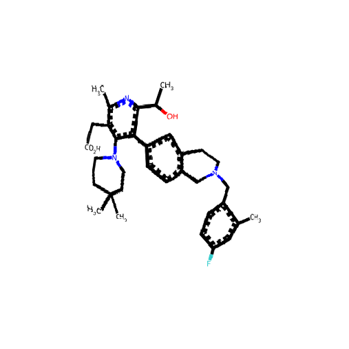 Cc1cc(F)ccc1CN1CCc2cc(-c3c(C(C)O)nc(C)c(CC(=O)O)c3N3CCC(C)(C)CC3)ccc2C1